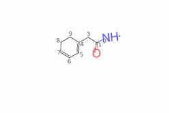 [NH]C(=O)CC1=CC=CCC1